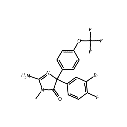 CN1C(=O)C(c2ccc(OC(F)(F)F)cc2)(c2ccc(F)c(Br)c2)N=C1N